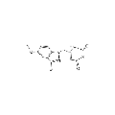 COc1ccc2c(c1)c(O)nn2Cc1cc(=O)[nH]c(=O)[nH]1